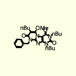 CCCCc1c(OC)n2c3c(=O)n(CCCC)c(=O)n(CCCC)c3nc2n(Cc2ccccc2)c1=O